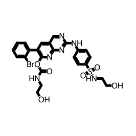 O=C(NCCO)Oc1nc2nc(Nc3ccc(S(=O)(=O)NCCO)cc3)ncc2cc1-c1ccccc1Br